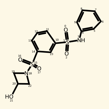 O=S(=O)(Nc1ccccc1)c1cccc(S(=O)(=O)N2CC(O)C2)c1